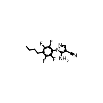 CCCCc1c(F)c(F)c(-n2ncc(C#N)c2N)c(F)c1F